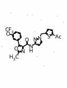 CC(=O)c1ccc(Cn2ccc(NC(=O)c3nc(C)oc3-c3cccc(OC(F)(F)F)c3)n2)s1